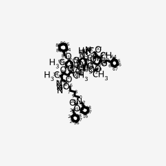 CCC1O[C@H](OCCCCCN(Cc2ccccc2)C(=O)OCc2ccccc2)C(N=[N+]=[N-])C(C)[C@@H]1O[C@@H]1O[C@@H](C(C)=O)[C@@H](O[C@H]2OC(CC)[C@@H](O[C@@H]3OC(C(C)=O)[C@@H](C)[C@@H](OCc4ccccc4)C3OC(C)=O)[C@H](C)C2N=[N+]=[N-])C(OCc2ccccc2)C1C